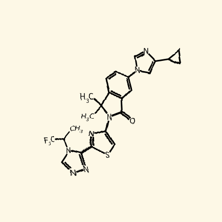 CC(n1cnnc1-c1nc(N2C(=O)c3cc(-n4cnc(C5CC5)c4)ccc3C2(C)C)cs1)C(F)(F)F